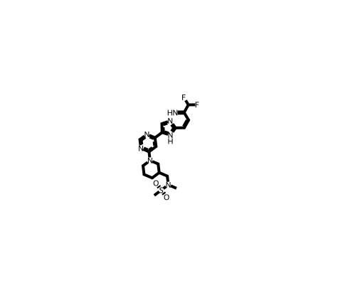 CN(CC1CCCN(c2cc(-c3cnc(/C=C\C(=N)C(F)F)[nH]3)ncn2)C1)S(C)(=O)=O